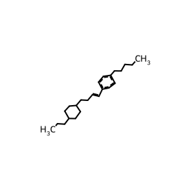 CCCCCc1ccc(C=CCCC2CCC(CCC)CC2)cc1